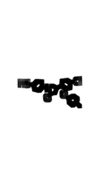 Cc1ccc(Oc2cc(Cl)ccc2C2CC(=O)N(c3ccc(S)cc3)C2)cc1